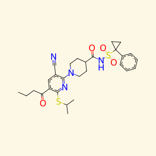 CCCC(=O)c1cc(C#N)c(N2CCC(C(=O)NS(=O)(=O)C3(c4ccccc4)CC3)CC2)nc1SC(C)C